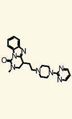 CN1CC(CCN2CCN(c3ncccn3)CC2)c2nc3ccccc3n2C1=O